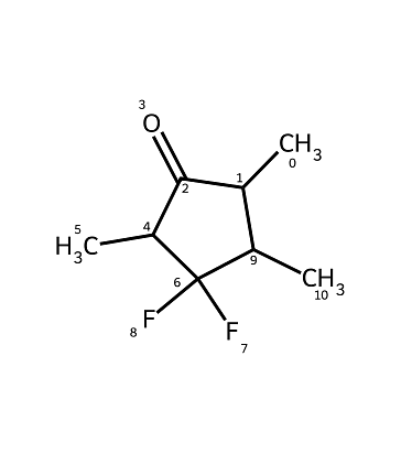 CC1C(=O)C(C)C(F)(F)C1C